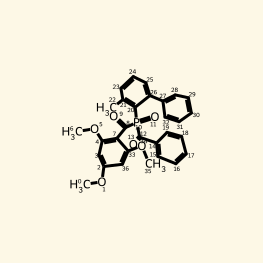 COc1cc(OC)c(C(=O)P(=O)(C(=O)c2ccccc2)c2c(C)cccc2-c2ccccc2)c(OC)c1